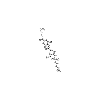 CCCCCC(=O)c1cc(Br)c(OC(=O)C(=O)Oc2c(Br)cc(C(=O)CCCCC)cc2Br)c(Br)c1